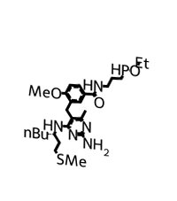 CCCC[C@@H](CCSC)Nc1nc(N)nc(C)c1Cc1cc(C(=O)NCCCPOCC)ccc1OC